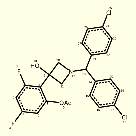 CC(=O)Oc1cc(F)cc(F)c1C1(O)CN(C(c2ccc(Cl)cc2)c2ccc(Cl)cc2)C1